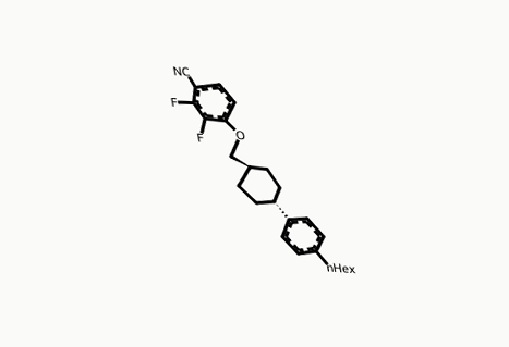 CCCCCCc1ccc([C@H]2CC[C@H](COc3ccc(C#N)c(F)c3F)CC2)cc1